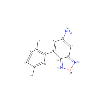 Cc1ccc(C)c(-c2cc(N)cc3nonc23)c1